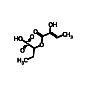 CC=C(O)C(=O)OC(CC)S(=O)(=O)O